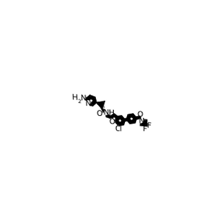 Nc1ccc([C@@H]2C[C@H]2C(=O)NCC2Cc3cc(-c4ccc(C(=O)N5CC(F)(F)C5)cc4)cc(Cl)c3O2)cn1